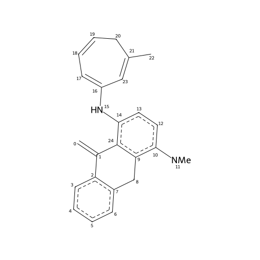 C=C1c2ccccc2Cc2c(NC)ccc(NC3=CC=CCC(C)=C3)c21